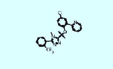 Cn1c(-c2ccccc2C(F)(F)F)nnc1C(C)(C)Oc1ccc(Cl)cc1-c1ccccn1